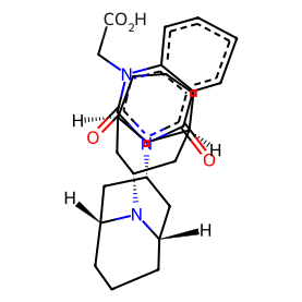 O=C(O)Cn1c(=O)n([C@H]2C[C@H]3CCC[C@@H](C2)N3[C@H]2C[C@@H]3CCC[C@@H](C3)C2)c(=O)c2ccccc21